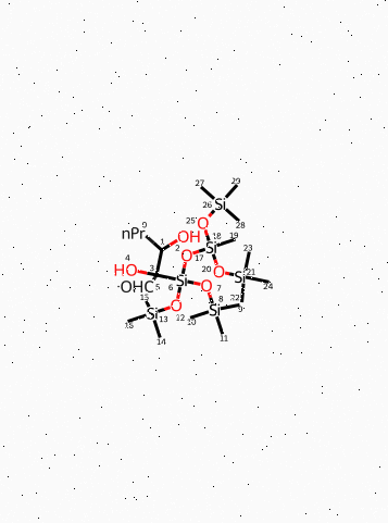 CCCC(O)C(O)([C]=O)[Si](O[Si](C)(C)C)(O[Si](C)(C)C)O[Si](C)(O[Si](C)(C)C)O[Si](C)(C)C